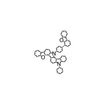 c1ccc(-n2c3ccccc3c3c2ccc2c4c5oc6ccccc6c5ccc4n(-c4ccc(-c5cccc6c5oc5ccccc56)cc4)c23)cc1